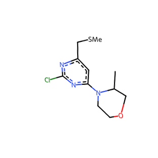 CSCc1cc(N2CCOCC2C)nc(Cl)n1